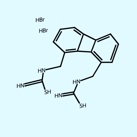 Br.Br.N=C(S)NCc1cccc2c1-c1c(CNC(=N)S)cccc1-2